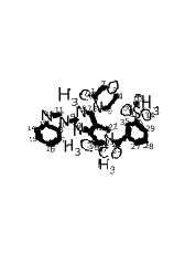 C[C@@H]1COCCN1c1nc(N2C=NC3C=CC=CC32)nc2c1CN(C(=O)c1cccc(S(C)(=O)=O)c1)C2(C)C